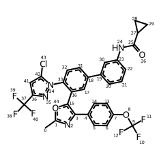 Cc1nc(-c2ccc(OC(F)(F)F)cc2)c(-c2cc(-c3cccc(NC(=O)C4CC4)c3)ccc2-n2nc(C(F)(F)F)cc2Cl)o1